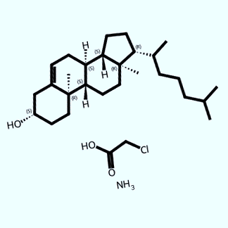 CC(C)CCCC(C)[C@H]1CC[C@H]2[C@@H]3CC=C4C[C@@H](O)CC[C@]4(C)[C@H]3CC[C@]12C.N.O=C(O)CCl